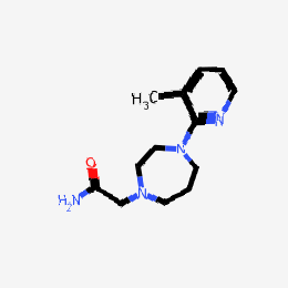 Cc1cccnc1N1CCCN(CC(N)=O)CC1